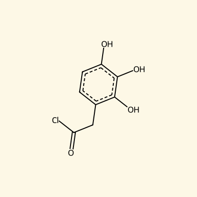 O=C(Cl)Cc1ccc(O)c(O)c1O